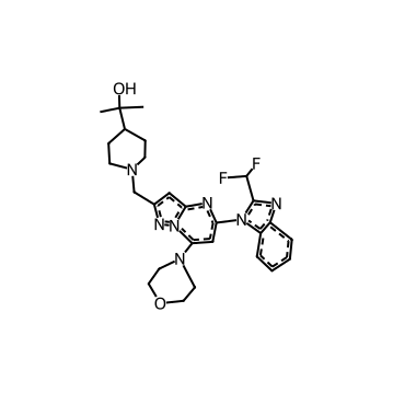 CC(C)(O)C1CCN(Cc2cc3nc(-n4c(C(F)F)nc5ccccc54)cc(N4CCOCC4)n3n2)CC1